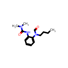 CCCCN(C=O)c1ccccc1NC(=O)N(C)C